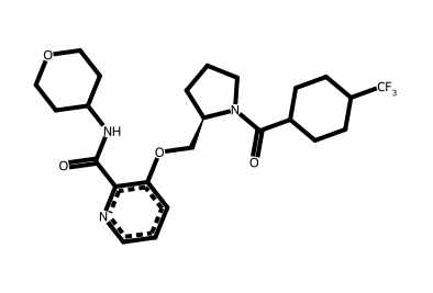 O=C(NC1CCOCC1)c1ncccc1OC[C@H]1CCCN1C(=O)C1CCC(C(F)(F)F)CC1